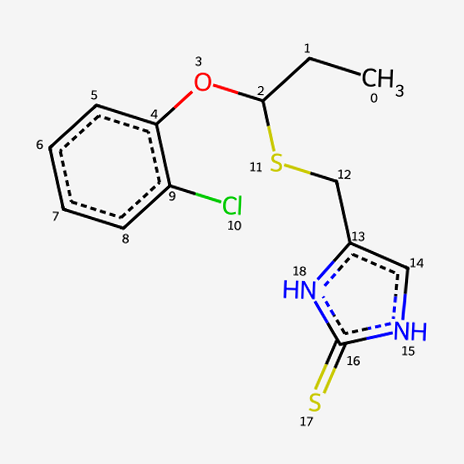 CCC(Oc1ccccc1Cl)SCc1c[nH]c(=S)[nH]1